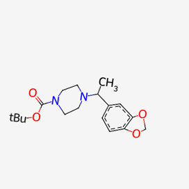 CC(c1ccc2c(c1)OCO2)N1CCN(C(=O)OC(C)(C)C)CC1